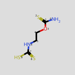 NC(=S)OCCNC(=S)S